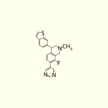 CN1Cc2c(ccc(-c3cncnc3)c2F)C(c2ccc3ccsc3c2)C1